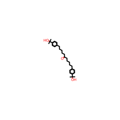 CC(C)(O)c1ccc(CCCCCC(=O)CCCCCc2ccc(C(C)(C)O)cc2)cc1